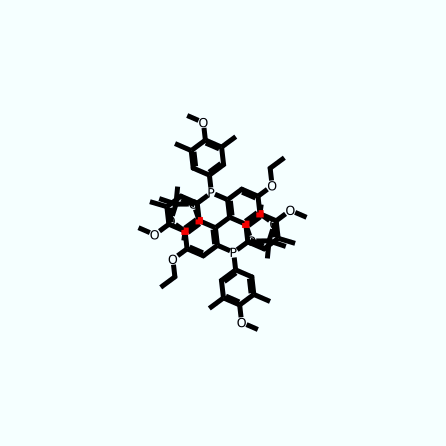 CCOc1cc(P(c2cc(C)c(OC)c(C)c2)c2cc(C)c(OC)c(C)c2)c(-c2c(P(c3cc(C)c(OC)c(C)c3)c3cc(C)c(OC)c(C)c3)cc(OCC)c3c2OC(C)(C)O3)c2c1OC(C)(C)O2